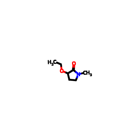 CCOC1CCN(C)C1=O